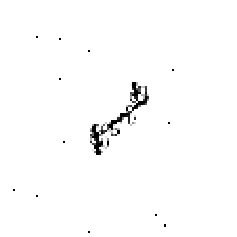 C=CC(=O)OC(CC)COC(=O)CCCC(=O)OCC(CC)OC(=O)C=C